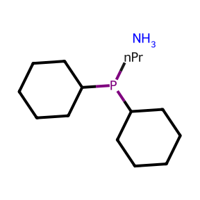 CCCP(C1CCCCC1)C1CCCCC1.N